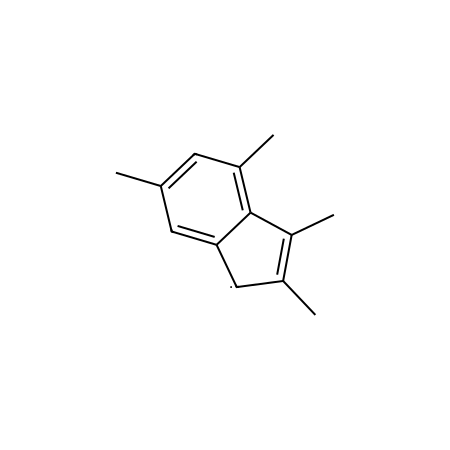 CC1=C(C)c2c(C)cc(C)cc2[CH]1